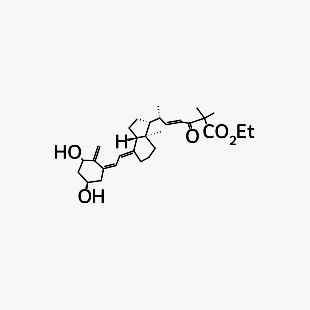 C=C1/C(=C\C=C2/CCC[C@]3(C)[C@@H]([C@H](C)/C=C/C(=O)C(C)(C)C(=O)OCC)CC[C@@H]23)C[C@@H](O)C[C@@H]1O